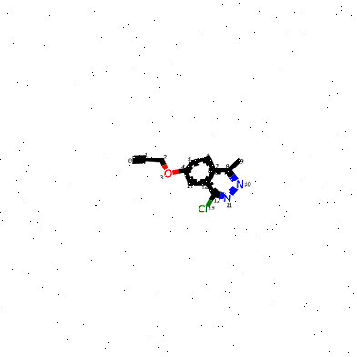 C#CCOc1ccc2c(C)nnc(Cl)c2c1